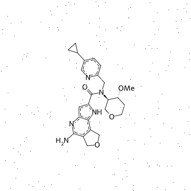 CO[C@@H]1CCOC[C@H]1N(Cc1ccc(C2CC2)cn1)C(=O)c1cc2nc(N)c3c(c2[nH]1)COC3